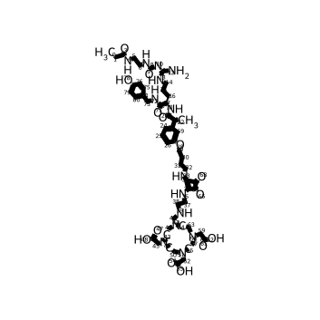 CCC(=O)NCCNC(=O)/N=C(/N)NCCC[C@@H](NC(=O)C(C)c1cccc(OCCCCNc2c(NCCNCN3CCN(CC(=O)O)CCN(CC(=O)O)CCN(CC(=O)O)CC3)c(=O)c2=O)c1)C(=O)NCc1ccc(O)cc1